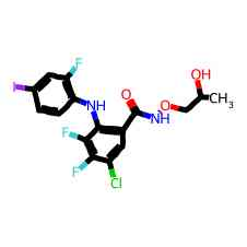 CC(O)CONC(=O)c1cc(Cl)c(F)c(F)c1Nc1ccc(I)cc1F